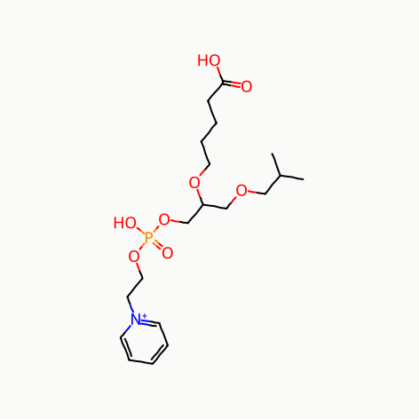 CC(C)COCC(COP(=O)(O)OCC[n+]1ccccc1)OCCCCC(=O)O